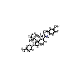 COc1ccc(-c2cc3c(N[C@@H]4CC[C@](C)(N)C4(C)C)c(/C(N)=N/c4cc(F)c(O)cc4Cl)cnn3c2)cn1